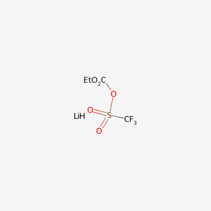 CCOC(=O)OS(=O)(=O)C(F)(F)F.[LiH]